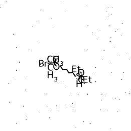 CCO[SiH](CCCCCCOC(=O)C(C)(C)Br)OCC